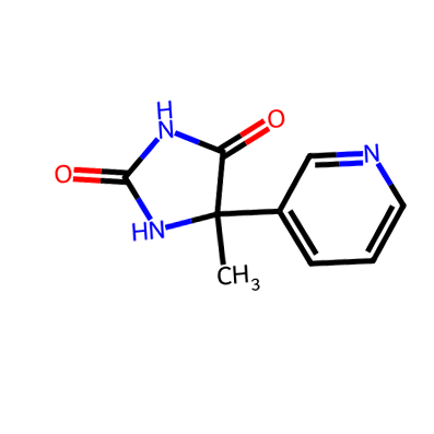 CC1(c2cccnc2)NC(=O)NC1=O